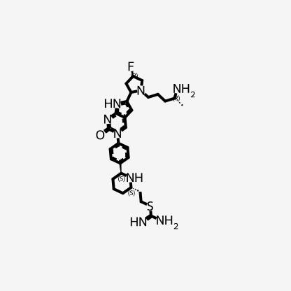 C[C@@H](N)CCCN1C[C@H](F)CC1c1cc2cn(-c3ccc([C@@H]4CCC[C@@H](CCSC(=N)N)N4)cc3)c(=O)nc2[nH]1